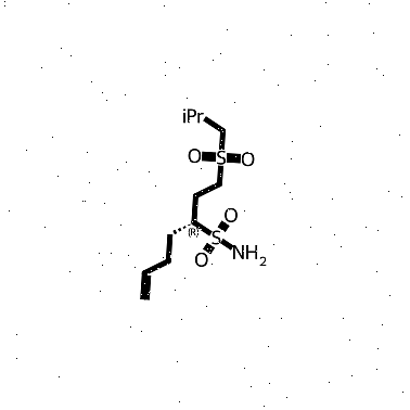 C=CCC[C@H](CCS(=O)(=O)CC(C)C)S(N)(=O)=O